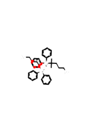 CC(C)(CCCBr)[Si](O[Si](c1ccccc1)(c1ccccc1)C(C)(C)CCCBr)(c1ccccc1)c1ccccc1